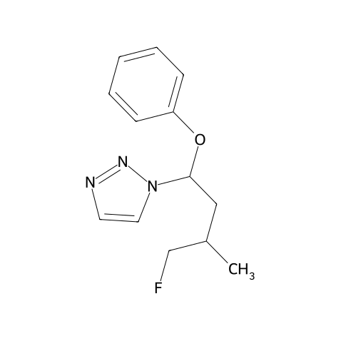 CC(CF)CC(Oc1ccccc1)n1ccnn1